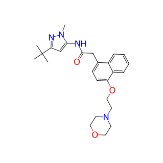 Cn1nc(C(C)(C)C)cc1NC(=O)Cc1ccc(OCCN2CCOCC2)c2ccccc12